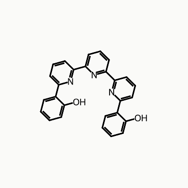 Oc1ccccc1-c1cccc(-c2cccc(-c3cccc(-c4ccccc4O)n3)n2)n1